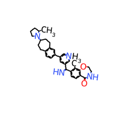 Cc1c(C(=N)c2cncc(-c3ccc4c(c3)CCC(N3CCC[C@H]3C)CC4)c2)ccc2c1OCCNC2=O